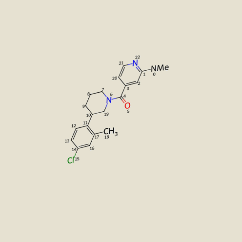 CNc1cc(C(=O)N2CCCC(c3ccc(Cl)cc3C)C2)ccn1